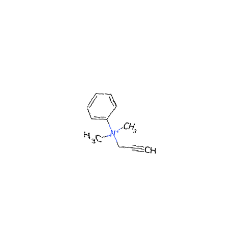 C#CC[N+](C)(C)c1ccccc1